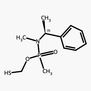 C[C@@H](c1ccccc1)N(C)P(C)(=O)OCS